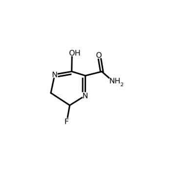 NC(=O)C1=NC(F)CN=C1O